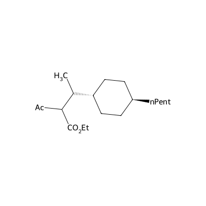 CCCCC[C@H]1CC[C@H](C(C)C(C(C)=O)C(=O)OCC)CC1